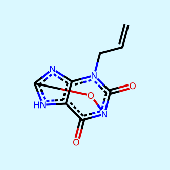 C=CCn1c(=O)n2c(=O)c3[nH]c(nc31)O2